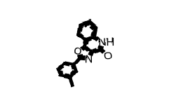 Cc1cccc(-c2nc3c(=O)[nH]c4ccccc4c3o2)c1